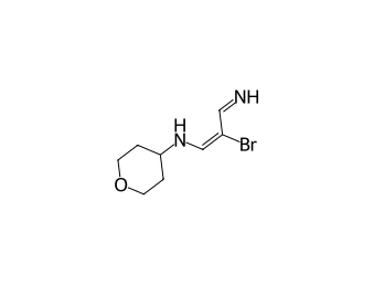 N=C/C(Br)=C\NC1CCOCC1